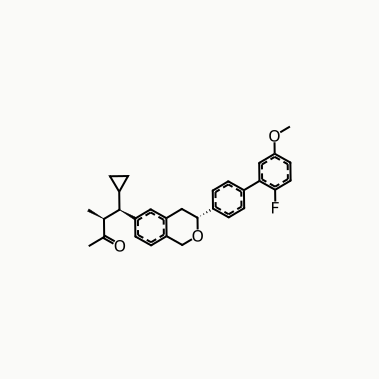 COc1ccc(F)c(-c2ccc([C@H]3Cc4cc([C@H](C5CC5)[C@H](C)C(C)=O)ccc4CO3)cc2)c1